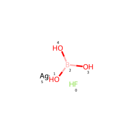 F.OB(O)O.[Ag]